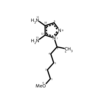 COCCCCC(C)n1ncc(N)c1N